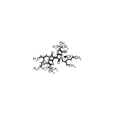 C#C[N+]1(CC(CC)CCCC)C(=O)/C(=C2/C(=O)N(CC(CC)CCCC)c3c2sc([Si](C)(C)C)c3Br)c2sc([Si](C)(C)C)c(Br)c21